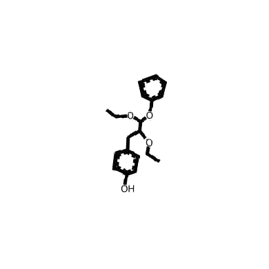 CCO[C](Oc1ccccc1)C(Cc1ccc(O)cc1)OCC